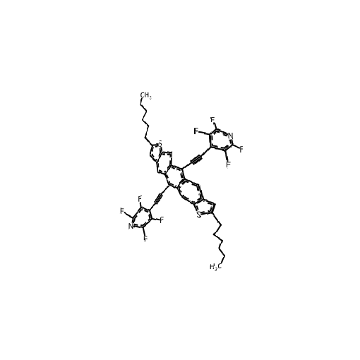 CCCCCCc1cc2cc3c(C#Cc4c(F)c(F)nc(F)c4F)c4cc5sc(CCCCCC)cc5cc4c(C#Cc4c(F)c(F)nc(F)c4F)c3cc2s1